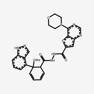 COC1(c2cccc3[nH]ncc23)C=CC=CC1C(=O)NNC(=O)c1cc2ncnc(N3CCOCC3)c2s1